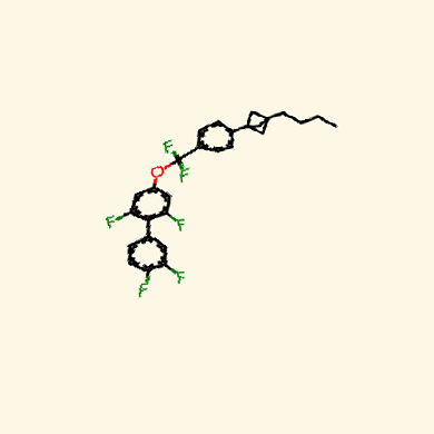 CCCCC12CC(c3ccc(C(F)(F)Oc4cc(F)c(-c5ccc(F)c(F)c5)c(F)c4)cc3)(C1)C2